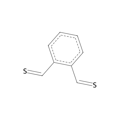 S=Cc1ccccc1C=S